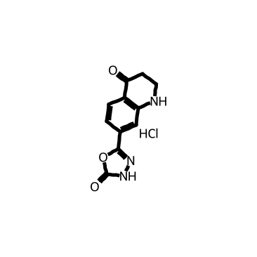 Cl.O=C1CCNc2cc(-c3n[nH]c(=O)o3)ccc21